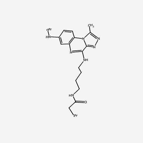 CCCNc1ccc2c(c1)nc(NCCCCNC(=O)CC(C)C)c1nnc(C)n12